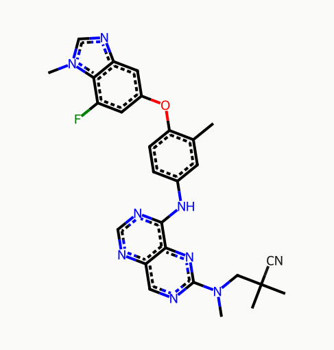 Cc1cc(Nc2ncnc3cnc(N(C)CC(C)(C)C#N)nc23)ccc1Oc1cc(F)c2c(c1)ncn2C